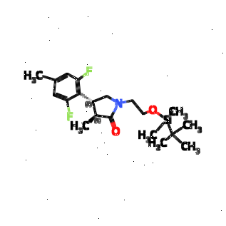 Cc1cc(F)c([C@@H]2CN(CCO[Si](C)(C)C(C)(C)C)C(=O)[C@H]2C)c(F)c1